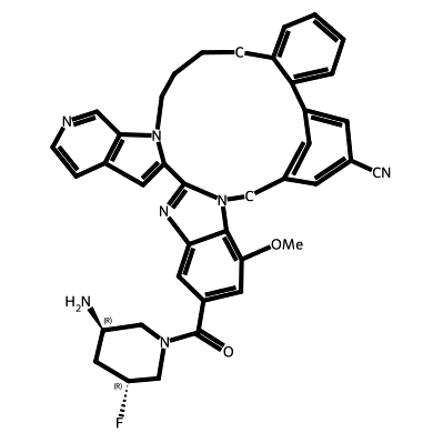 COc1cc(C(=O)N2C[C@H](N)C[C@@H](F)C2)cc2nc3n(c12)Cc1cc(C#N)cc(c1)-c1ccccc1CCCCn1c-3cc2ccncc21